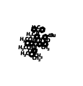 Cc1cc2c3c(c1)N(c1ccc(C(C)(C)C)c4oc5ccccc5c14)c1cc(N(c4ccccc4C)c4ccccc4C)ccc1B3c1cc3c(cc1N2c1ccc2c(c1)C(C)(C)CCC2(C)C)C(C)(C)CCC3(C)C